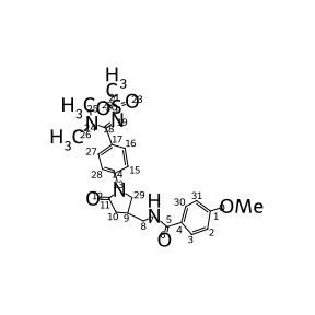 COc1ccc(C(=O)NCC2CC(=O)N(c3ccc(C(=NS(C)(=O)=O)N(C)C)cc3)C2)cc1